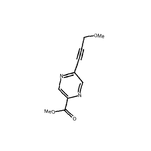 COCC#Cc1cnc(C(=O)OC)cn1